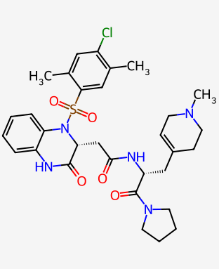 Cc1cc(S(=O)(=O)N2c3ccccc3NC(=O)[C@H]2CC(=O)N[C@H](CC2=CCN(C)CC2)C(=O)N2CCCC2)c(C)cc1Cl